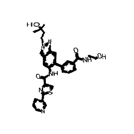 CC(C)(O)CCn1cc2cc(NC(=O)c3csc(-c4cccnc4)n3)c(-c3cccc(C(=O)NCCO)c3)cc2n1